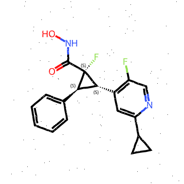 O=C(NO)[C@]1(F)[C@H](c2ccccc2)[C@H]1c1cc(C2CC2)ncc1F